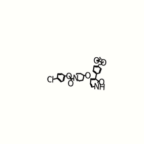 CS(=O)(=O)c1ccc(-c2c(OC3CCN(C(=O)Oc4ccc(Cl)cc4)CC3)cc[nH]c2=O)cc1